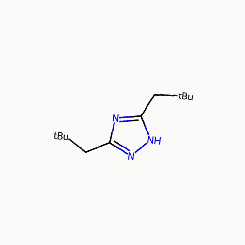 CC(C)(C)Cc1n[nH]c(CC(C)(C)C)n1